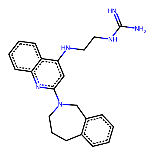 N=C(N)NCCNc1cc(N2CCCc3ccccc3C2)nc2ccccc12